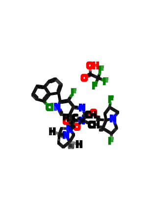 CC(C)(C)OC(=O)N1[C@@H]2CC[C@H]1CN(c1nc(OCC34CC(F)CN3CC(F)C4)nc3c(F)c(-c4cccc5cccc(Cl)c45)ncc13)C2.O=C(O)C(F)(F)F